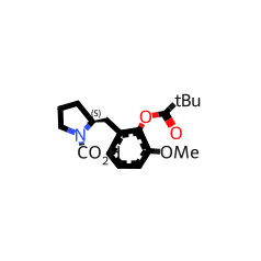 COc1cccc(C[C@@H]2CCCN2C(=O)O)c1OC(=O)C(C)(C)C